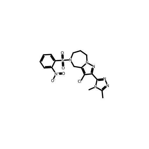 Cc1nnc(-c2nn3c(c2Cl)CN(S(=O)(=O)c2ccccc2[N+](=O)[O-])CCC3)n1C